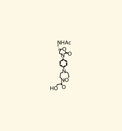 CC(=O)NC[C@H]1CN(c2ccc(N3CCON(C(=O)CO)CC3)cc2)C(=O)O1